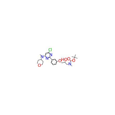 CN(CC(O)COc1cccc(-c2nc(Cl)cc(N(C)C3CCOCC3)n2)c1)C(=O)OC(C)(C)C